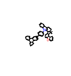 CC1(C)c2ccc3c4ccccc4n(-c4ccc(-c5ccc6c7ccccc7c7ccccc7c6c5)cc4)c3c2-c2ccc3oc4ccccc4c3c21